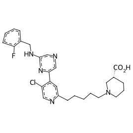 O=C(O)[C@@H]1CCCN(CCCCCc2cc(-c3cncc(NCc4ccccc4F)n3)c(Cl)cn2)C1